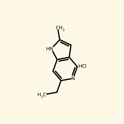 CCc1cc2[nH]c(C)cc2cn1.Cl